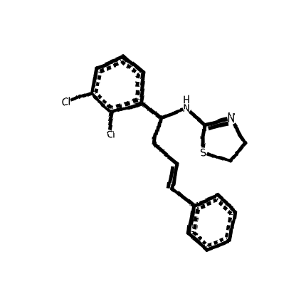 Clc1cccc(C(C/C=C/c2ccccc2)NC2=NCCS2)c1Cl